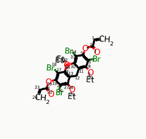 C=CC(=O)Oc1c(Br)c(OCC)c(Cc2c(OCC)c(Br)c(OC(=O)C=C)c(Br)c2OCC)c(OCC)c1Br